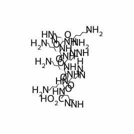 NCCCC[C@H](NC(=O)[C@H](Cc1c[nH]cn1)NC(=O)[C@H](CCCCN)NC(=O)[C@H](Cc1c[nH]cn1)NC(=O)[C@H](CCCCN)NC(=O)[C@H](Cc1c[nH]cn1)NC(=O)[C@@H](N)CCCCN)C(=O)N[C@@H](Cc1c[nH]cn1)C(=O)O